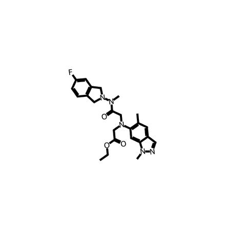 CCOC(=O)CN(CC(=O)N(C)N1Cc2ccc(F)cc2C1)c1cc2c(cnn2C)cc1C